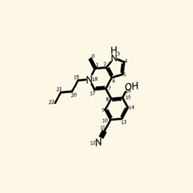 C=C1c2[nH]ccc2C(c2cc(C#N)ccc2O)=CN1CCCC